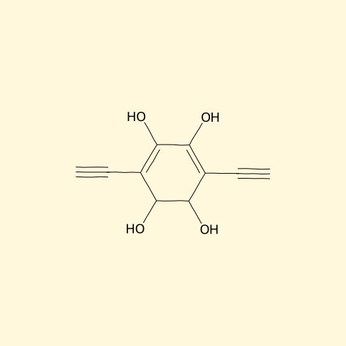 C#CC1=C(O)C(O)=C(C#C)C(O)C1O